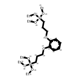 CCO[Si](CCCOc1ccccc1OCCC[Si](OCC)(OCC)OCC)(OCC)OCC